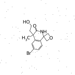 CC1(CCO)C(=O)NC2(COC2)c2ccc(Br)cc21